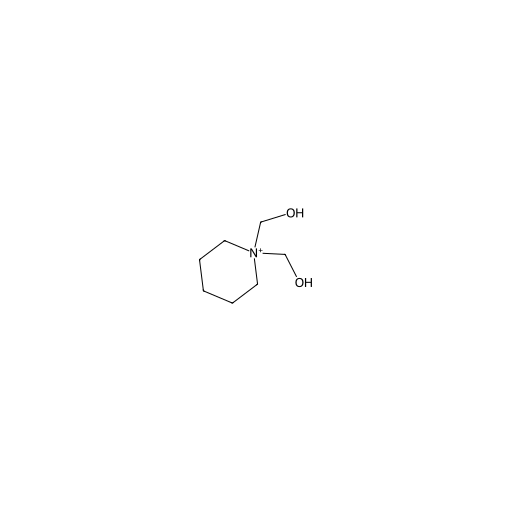 OC[N+]1(CO)CCCCC1